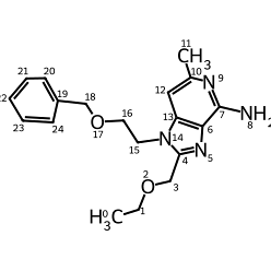 CCOCc1nc2c(N)nc(C)cc2n1CCOCc1ccccc1